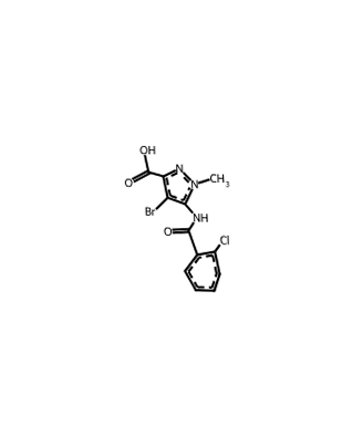 Cn1nc(C(=O)O)c(Br)c1NC(=O)c1ccccc1Cl